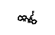 FCCn1c(-c2ccc3ccccc3n2)nc2ccccc21